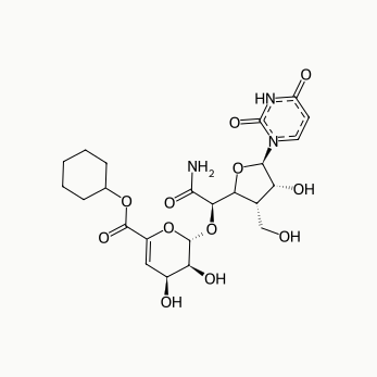 NC(=O)[C@H](O[C@H]1OC(C(=O)OC2CCCCC2)=C[C@H](O)[C@@H]1O)C1O[C@@H](n2ccc(=O)[nH]c2=O)[C@H](O)[C@@H]1CO